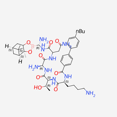 CCCCc1ccc(-c2ccc(C(=O)N[C@@H](CCCCN)C(=O)N[C@H](C(=O)N[C@@H](N)C(=O)NC(CC(N)=O)C(=O)N[C@@H](N)B3OC4C[C@@H]5C[C@@H](C5(C)C)[C@]4(C)O3)[C@@H](C)O)cc2)cc1